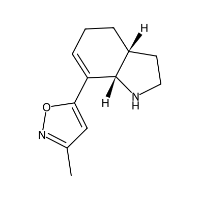 Cc1cc(C2=CCC[C@@H]3CCN[C@H]23)on1